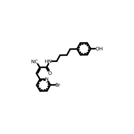 N#CC(=Cc1cccc(Br)n1)C(=O)NCCCCc1ccc(O)cc1